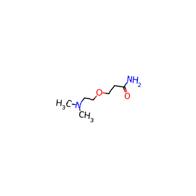 CN(C)CCOCCC(N)=O